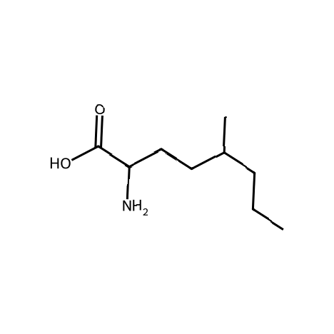 CCCC(C)CCC(N)C(=O)O